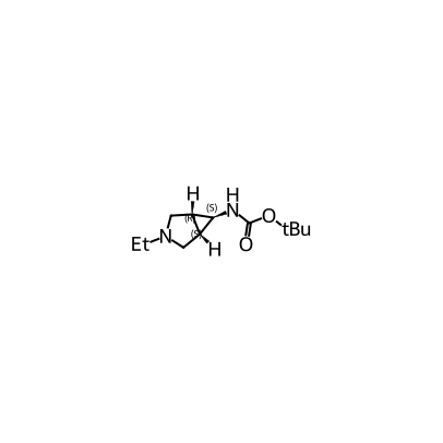 CCN1C[C@@H]2[C@H](C1)[C@H]2NC(=O)OC(C)(C)C